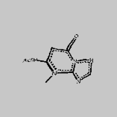 CC(=O)Nc1cc(=O)n2ncnc2n1C